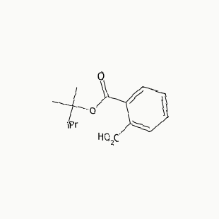 CC(C)C(C)(C)OC(=O)c1ccccc1C(=O)O